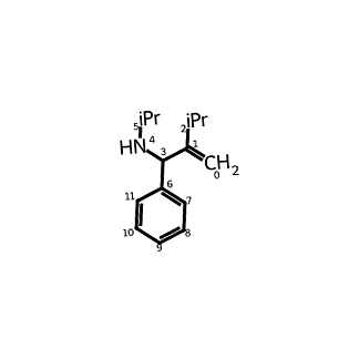 C=C(C(C)C)C(NC(C)C)c1ccccc1